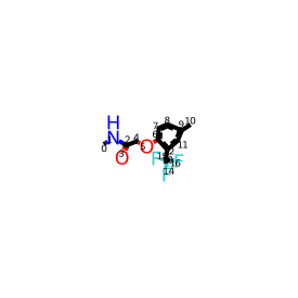 CNC(=O)COc1ccc(C)cc1C(F)(F)F